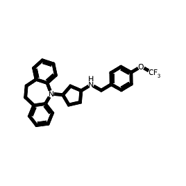 FC(F)(F)Oc1ccc(CNC2CCC(N3c4ccccc4CCc4ccccc43)C2)cc1